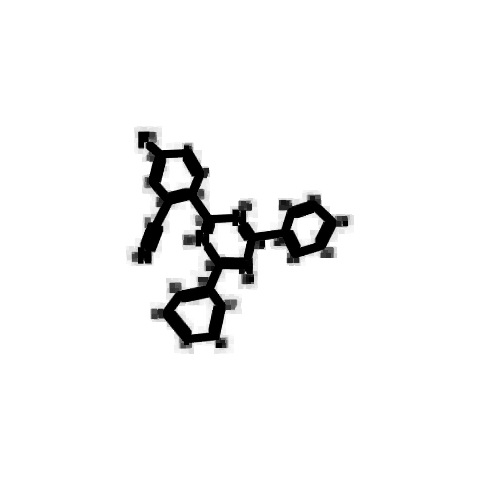 N#Cc1cc(F)ccc1-c1nc(-c2ccccc2)nc(-c2ccccc2)n1